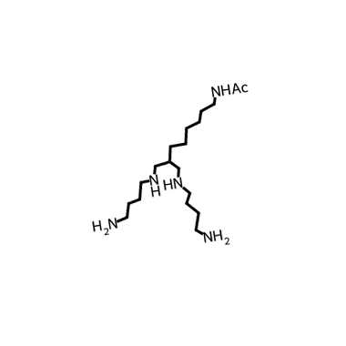 CC(=O)NCCCCCCC(CNCCCCN)CNCCCCN